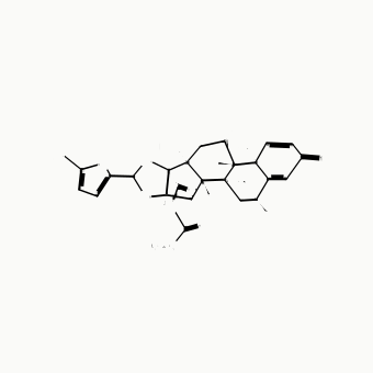 CNC(=O)SC(=O)[C@@]12OC(c3ccc(C)o3)O[C@@H]1C[C@H]1[C@@H]3C[C@H](F)C4=CC(=O)C=C[C@]4(C)[C@@]3(F)[C@@H](O)C[C@@]12C